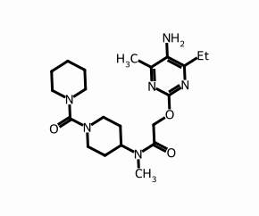 CCc1nc(OCC(=O)N(C)C2CCN(C(=O)N3CCCCC3)CC2)nc(C)c1N